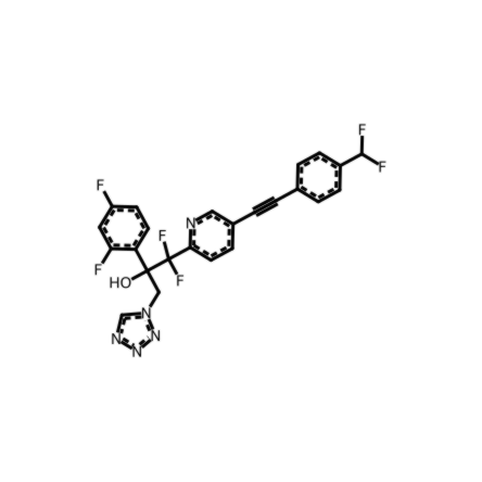 OC(Cn1cnnn1)(c1ccc(F)cc1F)C(F)(F)c1ccc(C#Cc2ccc(C(F)F)cc2)cn1